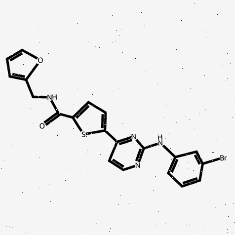 O=C(NCc1ccco1)c1ccc(-c2ccnc(Nc3cccc(Br)c3)n2)s1